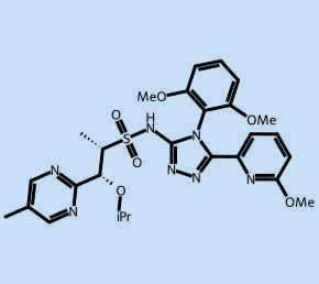 COc1cccc(-c2nnc(NS(=O)(=O)[C@@H](C)[C@H](OC(C)C)c3ncc(C)cn3)n2-c2c(OC)cccc2OC)n1